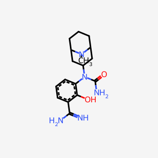 CN1C2CCCC1CC(N(C(N)=O)c1cccc(C(=N)N)c1O)C2